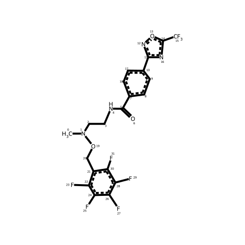 CN(CCNC(=O)c1ccc(-c2noc(C(F)(F)F)n2)cc1)OCc1c(F)c(F)c(F)c(F)c1F